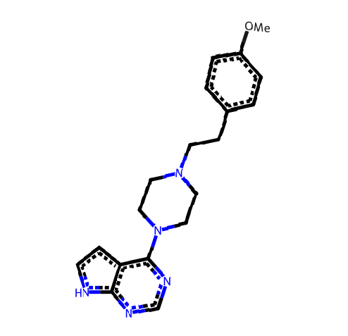 COc1ccc(CCN2CCN(c3ncnc4[nH]ccc34)CC2)cc1